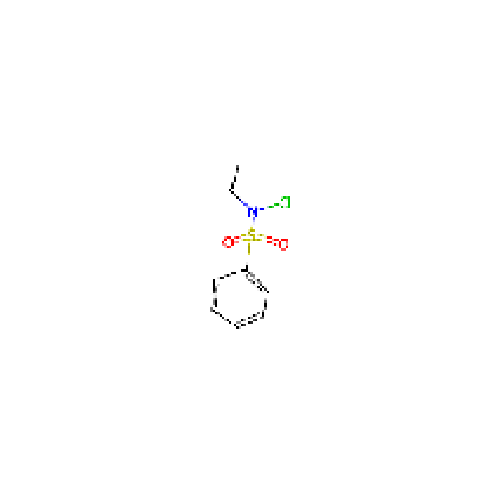 CCN(Cl)S(=O)(=O)c1ccccc1